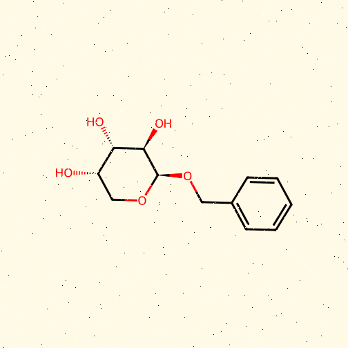 O[C@@H]1[C@@H](O)[C@@H](OCc2ccccc2)OC[C@@H]1O